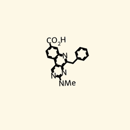 CNc1ncc2c(n1)c(Cc1ccccc1)nc1cc(C(=O)O)ccc12